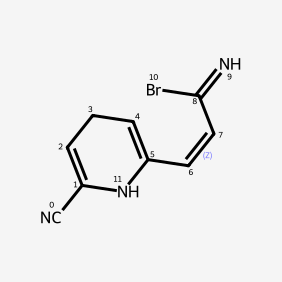 N#CC1=CCC=C(/C=C\C(=N)Br)N1